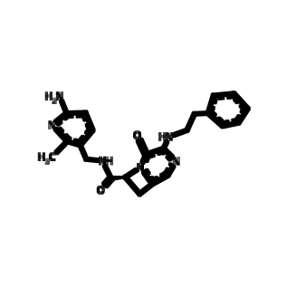 Cc1nc(N)ccc1CNC(=O)[C@@H]1Cc2cnc(NCCc3ccccc3)c(=O)n21